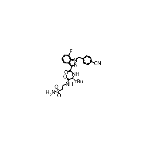 CC(C)(C)[C@H](NC(=O)c1nn(Cc2ccc(C#N)cc2)c2c(F)cccc12)C(=O)NCCS(N)(=O)=O